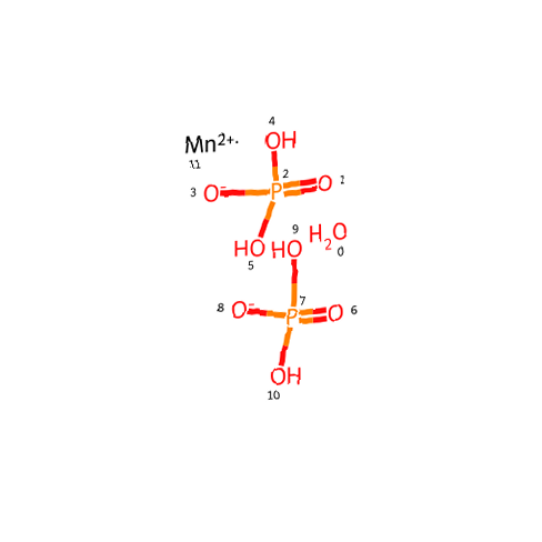 O.O=P([O-])(O)O.O=P([O-])(O)O.[Mn+2]